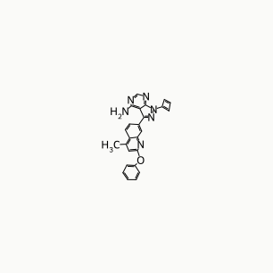 Cc1cc(Oc2ccccc2)nc2cc(-c3nn(C4=CC=C4)c4ncnc(N)c34)ccc12